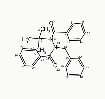 CC(C)(C)N(C(=O)c1ccccc1)N(Cc1ccccc1)C(=O)c1ccccc1